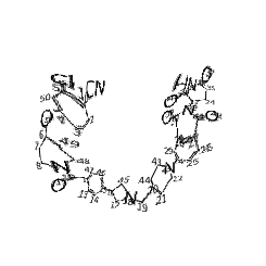 N#Cc1ccc(OC2CCN(C(=O)c3ccc(C4CN(CC5CCN(c6ccc7c(c6)C(=O)N(C6CCC(=O)NC6=O)C7=O)CC5)C4)cc3)CC2)cc1Cl